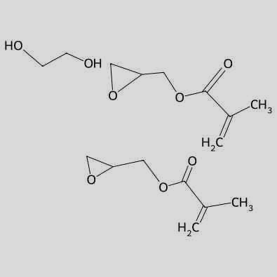 C=C(C)C(=O)OCC1CO1.C=C(C)C(=O)OCC1CO1.OCCO